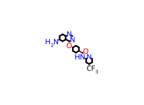 Nc1ccc2ncnc(Oc3ccc(C(=O)Nc4cc(C(F)(F)F)ccn4)cc3)c2c1